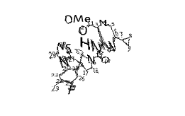 COC(=O)c1ncc(C2CC2)nc1NC(=O)N1CC[C@](c2ccc(C)c(F)c2)(c2ncns2)C1